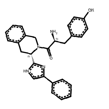 N[C@@H](Cc1ccc(O)cc1)C(=O)N1Cc2ccccc2C[C@H]1c1nc(-c2ccccc2)c[nH]1